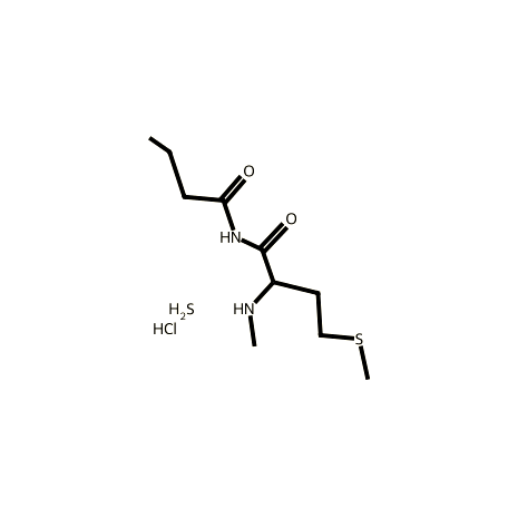 CCCC(=O)NC(=O)C(CCSC)NC.Cl.S